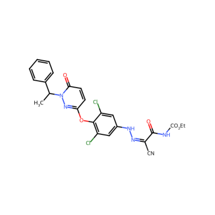 CCOC(=O)NC(=O)C(C#N)=NNc1cc(Cl)c(Oc2ccc(=O)n(C(C)c3ccccc3)n2)c(Cl)c1